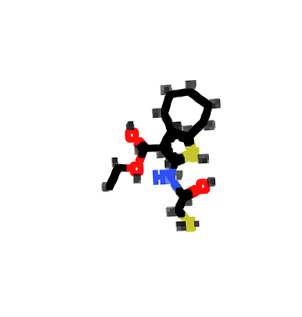 CCOC(=O)c1c(NC(=O)C[S])sc2c1CCCCC2